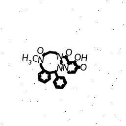 CN1Cc2ccccc2C(c2ccccc2)N2CN(CCC1=O)C(=O)c1c(O)c(=O)ccn12